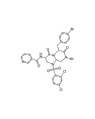 CC(C)N1CC2N(C(=O)C(NC(=O)c3cccnc3)CN2S(=O)(=O)c2ccc(Cl)cc2Cl)C(Cc2ccc(Br)cc2)C1=O